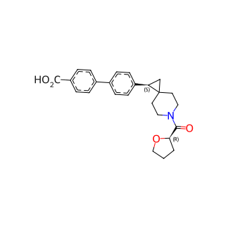 O=C(O)c1ccc(-c2ccc([C@H]3CC34CCN(C(=O)[C@H]3CCCO3)CC4)cc2)cc1